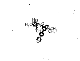 CCCc1cc(C)[nH]c(=O)c1CNC(=O)c1cc(-c2ccc(N3CCOCC3)cc2)cc2c1CCN2C(C)C